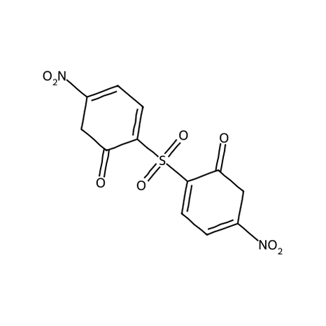 O=C1CC([N+](=O)[O-])=CC=C1S(=O)(=O)C1=CC=C([N+](=O)[O-])CC1=O